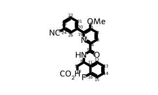 COc1ccc(C(=O)NC(CC(=O)O)c2ccccc2F)nc1-c1cccc(C#N)c1